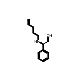 C=CCCCN[C@@H](CO)c1ccccc1